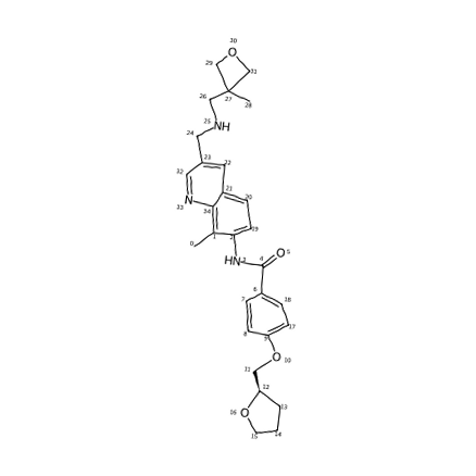 Cc1c(NC(=O)c2ccc(OC[C@H]3CCCO3)cc2)ccc2cc(CNCC3(C)COC3)cnc12